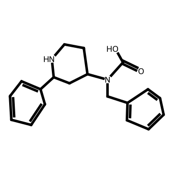 O=C(O)N(Cc1ccccc1)C1CCNC(c2ccccc2)C1